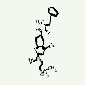 C/C(=C\c1ccccc1)C(=O)Nc1ccc2nc(N(C)CCN(C)C)cc(C)c2c1